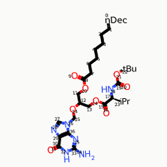 CCCCCCCCCCCCCCCCCC(=O)OCC(COC(=O)[C@@H](NC(=O)OC(C)(C)C)C(C)C)OCn1cnc2c(=O)[nH]c(N)nc21